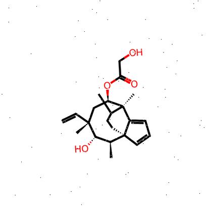 C=C[C@]1(C)C[C@@H](OC(=O)CO)[C@@]2(C)C3=CC=C[C@@]3(CCC2C)[C@@H](C)[C@@H]1O